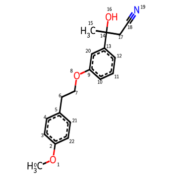 COc1ccc(CCOc2cccc(C(C)(O)CC#N)c2)cc1